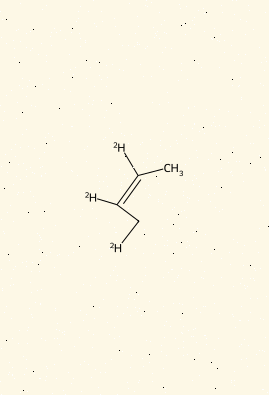 [2H]C/C([2H])=C(/[2H])C